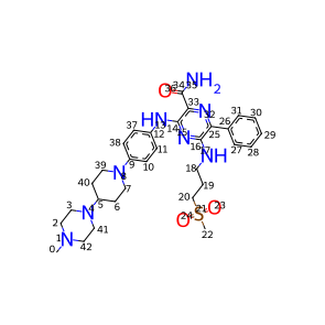 CN1CCN(C2CCN(c3ccc(Nc4nc(NCCCS(C)(=O)=O)c(-c5ccccc5)nc4C(N)=O)cc3)CC2)CC1